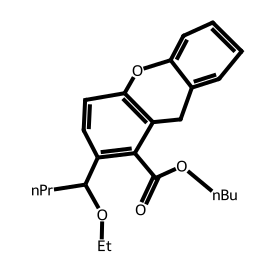 CCCCOC(=O)c1c(C(CCC)OCC)ccc2c1Cc1ccccc1O2